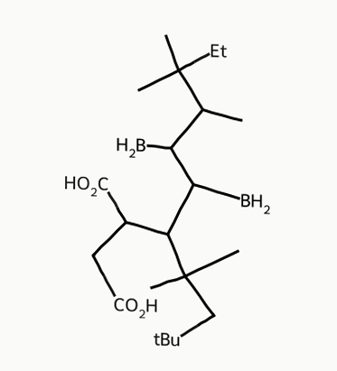 BC(C(B)C(C(CC(=O)O)C(=O)O)C(C)(C)CC(C)(C)C)C(C)C(C)(C)CC